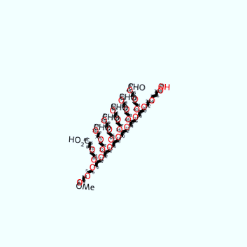 COOCCOCCOCC(COCC(COCC(COCC(COCC(COCC(COCCOCCCOO)OCCOCCOC=O)OCCOCCOC=O)OCCOCCOC=O)OCCOCCOC=O)OCCOCCOC=O)OCCOCCC(=O)O